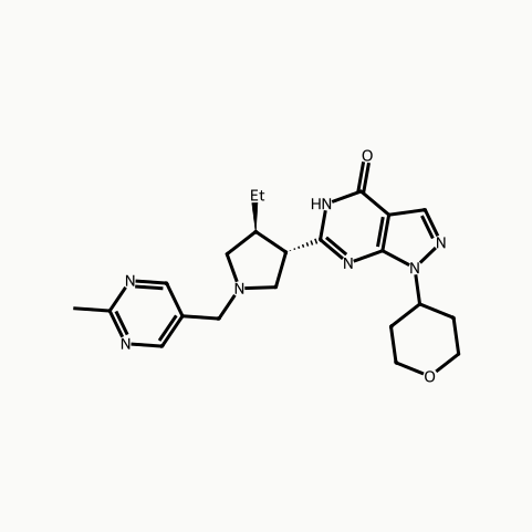 CC[C@@H]1CN(Cc2cnc(C)nc2)C[C@H]1c1nc2c(cnn2C2CCOCC2)c(=O)[nH]1